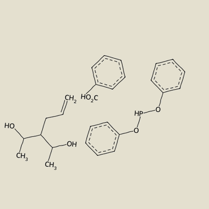 C=CCC(C(C)O)C(C)O.O=C(O)c1ccccc1.c1ccc(OPOc2ccccc2)cc1